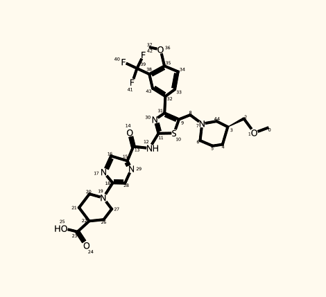 COC[C@H]1CCCN(Cc2sc(NC(=O)c3cnc(N4CCC(C(=O)O)CC4)cn3)nc2-c2ccc(OC)c(C(F)(F)F)c2)C1